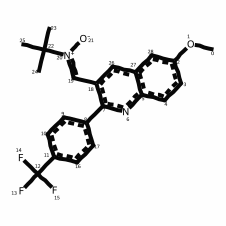 COc1ccc2nc(-c3ccc(C(F)(F)F)cc3)c(/C=[N+](\[O-])C(C)(C)C)cc2c1